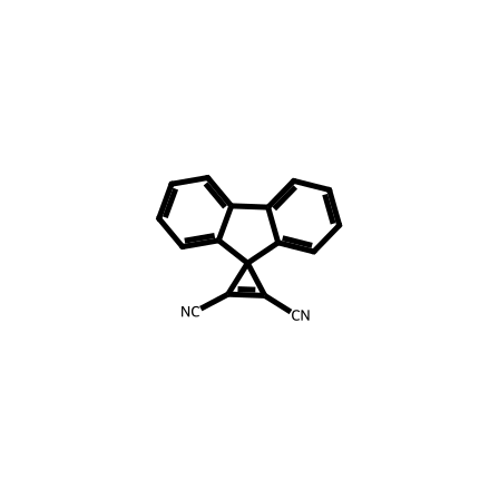 N#CC1=C(C#N)C12c1ccccc1-c1ccccc12